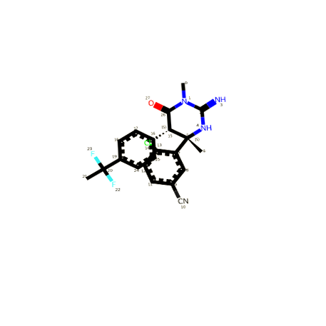 CN1C(=N)N[C@](C)(c2cc(C#N)ccc2Cl)[C@H](c2ccc(C(C)(F)F)cc2)C1=O